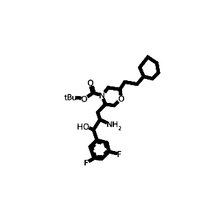 CC(C)(C)OC(=O)N1CC(CCC2CCCCC2)OCC1CC(N)C(O)c1cc(F)cc(F)c1